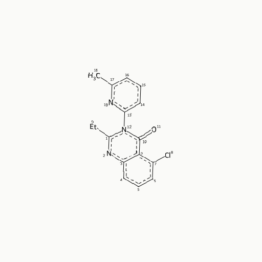 CCc1nc2cccc(Cl)c2c(=O)n1-c1cccc(C)n1